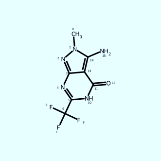 Cn1nc2nc(C(F)(F)F)[nH]c(=O)c2c1N